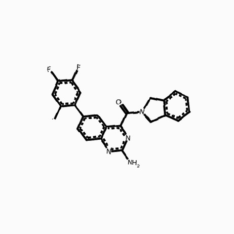 [CH2]c1cc(F)c(F)cc1-c1ccc2nc(N)nc(C(=O)N3Cc4ccccc4C3)c2c1